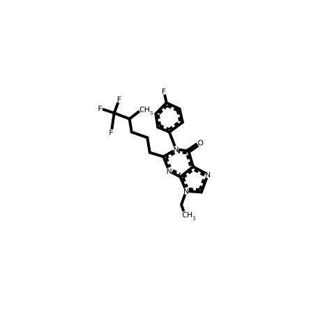 CCn1cnc2c(=O)n(-c3ccc(F)cc3)c(CCCC(C)C(F)(F)F)nc21